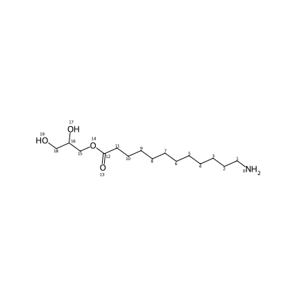 NCCCCCCCCCCCC(=O)OCC(O)CO